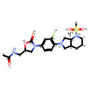 CC(=O)NCC1CN(c2ccc(N3CC4CCCN(S(C)(=O)=O)[C@@H]4C3)c(F)c2)C(=O)O1